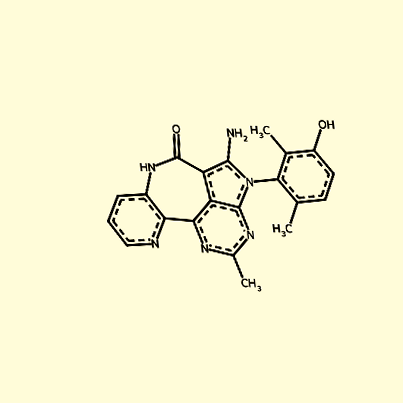 Cc1nc2c3c(c(N)n(-c4c(C)ccc(O)c4C)c3n1)C(=O)Nc1cccnc1-2